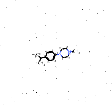 CC(C)c1ccc(N2CCN(C)CC2)cc1